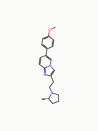 COc1ccc(-c2ccc3nc(CCN4CCC[C@H]4C)cn3c2)cc1